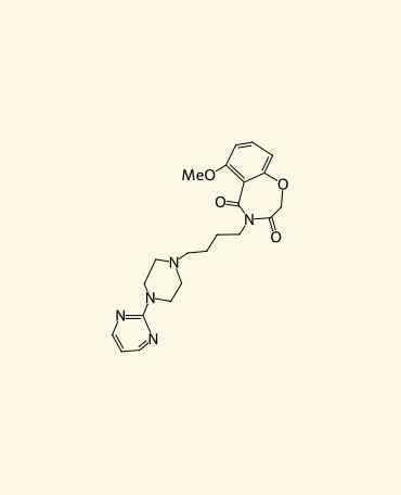 COc1cccc2c1C(=O)N(CCCCN1CCN(c3ncccn3)CC1)C(=O)CO2